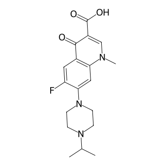 CC(C)N1CCN(c2cc3c(cc2F)c(=O)c(C(=O)O)cn3C)CC1